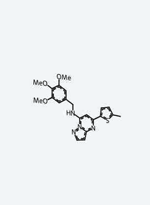 COc1cc(CNc2cc(-c3ccc(C)s3)nc3ccnn23)cc(OC)c1OC